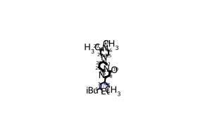 C/C=C(\C=C(/CC)C(C)CC)c1cc(=O)n2cc(N3CCN(C)[C@@H](C)C3)ccc2n1